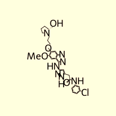 COc1cc2c(Nc3cc(CC(=O)Nc4cccc(Cl)c4)[nH]n3)ncnc2cc1OCCCN1CCC[C@@H]1CO